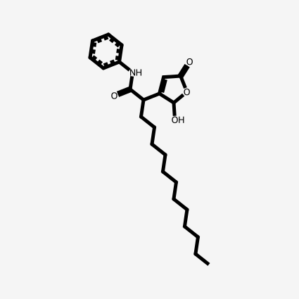 CCCCCCCCCCCCC(C(=O)Nc1ccccc1)C1=CC(=O)OC1O